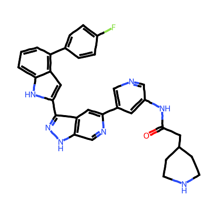 O=C(CC1CCNCC1)Nc1cncc(-c2cc3c(-c4cc5c(-c6ccc(F)cc6)cccc5[nH]4)n[nH]c3cn2)c1